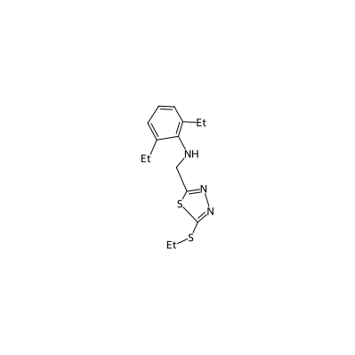 CCSc1nnc(CNc2c(CC)cccc2CC)s1